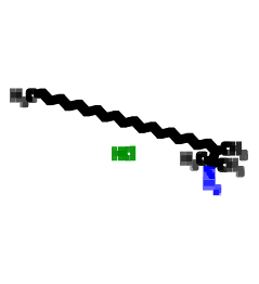 CCCCCCCCCCCCCCCCCCCCC(C)C(C)(C)N.Cl